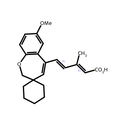 COc1ccc2c(c1)C(/C=C/C(C)=C/C(=O)O)=CC1(CCCCC1)CO2